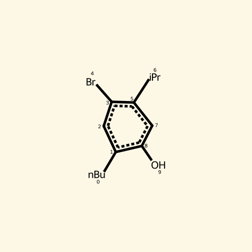 CCCCc1cc(Br)c(C(C)C)cc1O